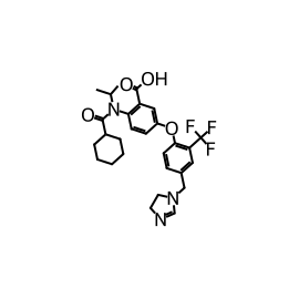 CC(C)N(C(=O)C1CCCCC1)c1ccc(Oc2ccc(CN3C=NCC3)cc2C(F)(F)F)cc1C(=O)O